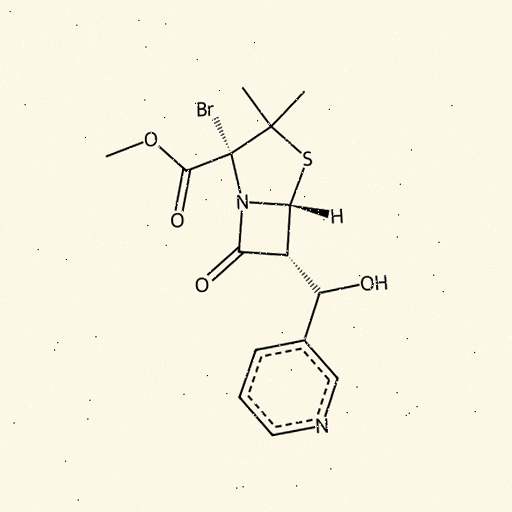 COC(=O)[C@]1(Br)N2C(=O)[C@@H](C(O)c3cccnc3)[C@H]2SC1(C)C